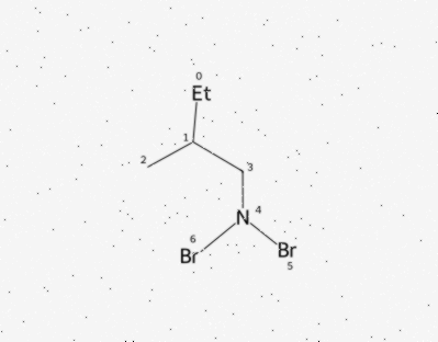 CCC(C)CN(Br)Br